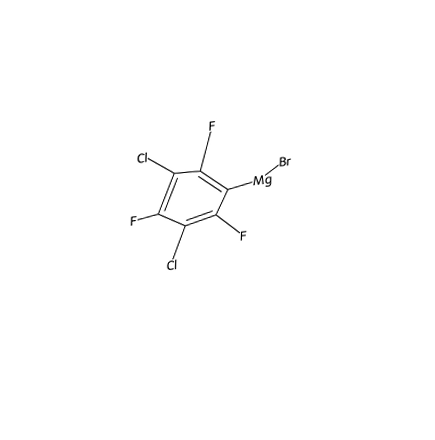 Fc1c(Cl)c(F)[c]([Mg][Br])c(F)c1Cl